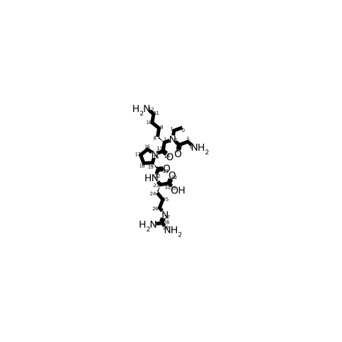 CCN(C(=O)CN)[C@@H](CCCCN)C(=O)N1CCC[C@H]1C(=O)N[C@@H](CCCN=C(N)N)C(=O)O